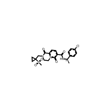 C[C@@H](NC(=O)c1ccc2n(c1=O)CCN(CC1(S(C)(=O)=O)CC1)C2=O)c1ccc(Cl)cc1